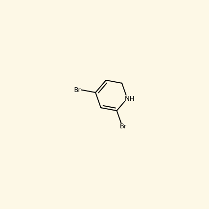 BrC1=CCNC(Br)=C1